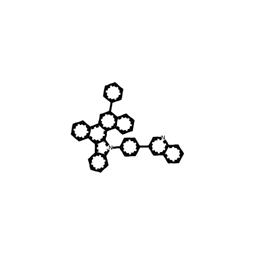 c1ccc(-c2cc3c4ccccc4c4c5ccccc5n(-c5ccc(-c6cnc7ccccc7c6)cc5)c4c3c3ccccc23)cc1